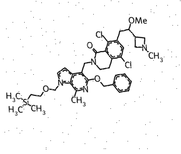 COC(Cc1cc(Cl)c2c(c1Cl)C(=O)N(Cc1c(OCc3ccccc3)nc(C)c3c1ccn3COCC[Si](C)(C)C)CC2)C1CN(C)C1